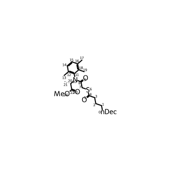 CCCCCCCCCCCCCC(=O)SCC(=O)N(c1c(C)ccc(C)c1C)[C@@H](C)C(=O)OC